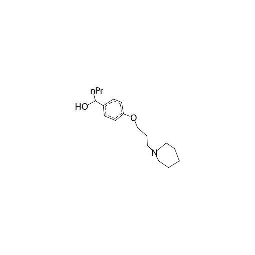 CCCC(O)c1ccc(OCCCN2CCCCC2)cc1